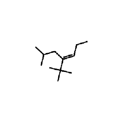 CC/C=C(\CC(C)C)C(C)(C)C